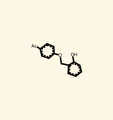 CC(=O)c1ccc(OCc2ccccc2O)cc1